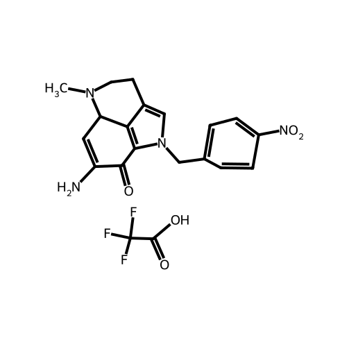 CN1CCc2cn(Cc3ccc([N+](=O)[O-])cc3)c3c2C1C=C(N)C3=O.O=C(O)C(F)(F)F